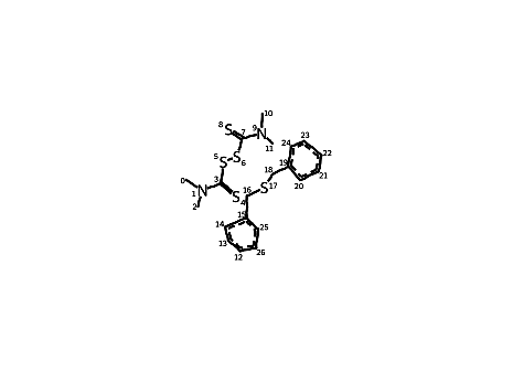 CN(C)C(=S)SSC(=S)N(C)C.c1ccc(CSCc2ccccc2)cc1